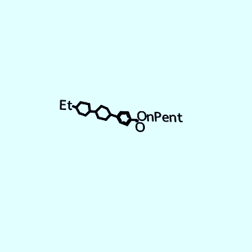 CCCCCOC(=O)c1ccc(C2CCC(C3CCC(CC)CC3)CC2)cc1